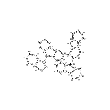 c1cc(-n2c3ccccc3c3cc(-c4c(-n5c6ccccc6c6ccccc65)ccc5c4sc4ccccc45)ccc32)c2cnccc2c1